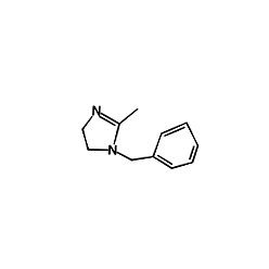 CC1=NCCN1Cc1ccccc1